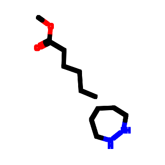 C1CCNNCC1.CCCCCC(=O)OC